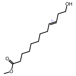 COC(=O)CCCCCCC/C=C/CCO